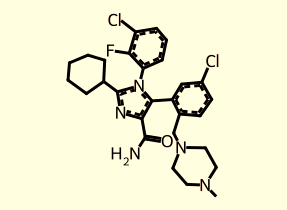 CN1CCN(Cc2ccc(Cl)cc2-c2c(C(N)=O)nc(C3CCCCC3)n2-c2cccc(Cl)c2F)CC1